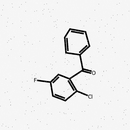 O=C(c1ccccc1)c1cc(F)ccc1Cl